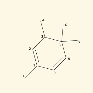 CC1=CC(C)C(C)(C)C=C1